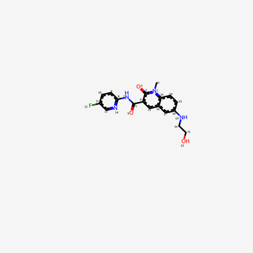 Cn1c(=O)c(C(=O)Nc2ccc(F)cn2)cc2cc(NCCO)ccc21